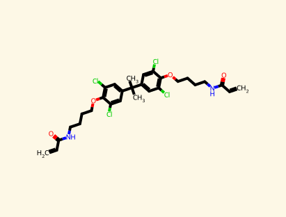 C=CC(=O)NCCCCOc1c(Cl)cc(C(C)(C)c2cc(Cl)c(OCCCCNC(=O)C=C)c(Cl)c2)cc1Cl